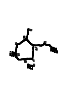 Cl.OCC1CCNCC1F